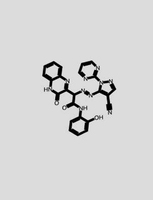 N#Cc1cnn(-c2ncccn2)c1N=NC(C(=O)Nc1ccccc1O)c1nc2ccccc2[nH]c1=O